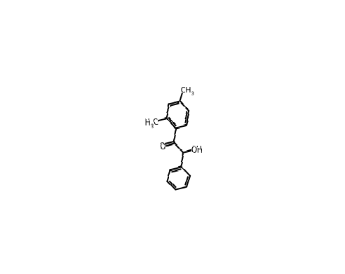 Cc1ccc(C(=O)C(O)c2ccccc2)c(C)c1